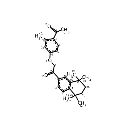 CC(=O)c1ccc(OCC(=O)c2ccc3c(c2)C(C)(C)CCC3(C)C)cc1C